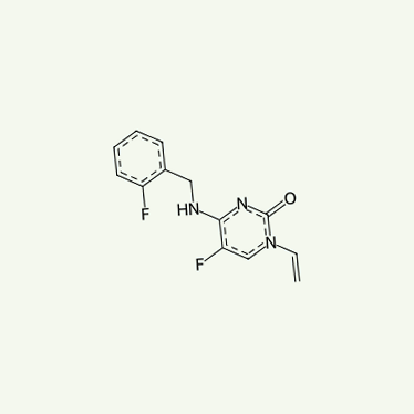 C=Cn1cc(F)c(NCc2ccccc2F)nc1=O